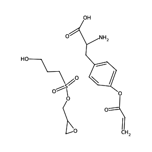 C=CC(=O)Oc1ccc(CC(N)C(=O)O)cc1.O=S(=O)(CCCO)OCC1CO1